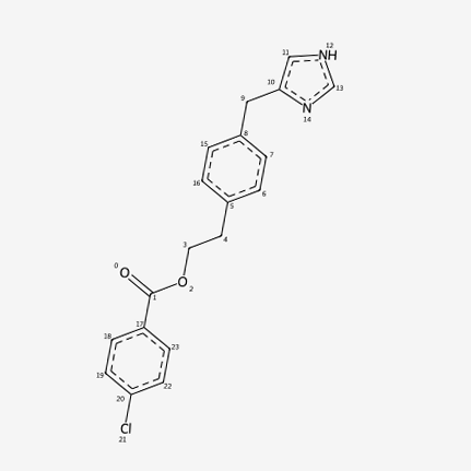 O=C(OCCc1ccc(Cc2c[nH]cn2)cc1)c1ccc(Cl)cc1